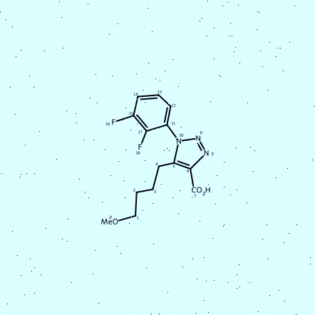 COCCCCc1c(C(=O)O)nnn1-c1cccc(F)c1F